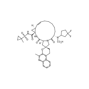 Cc1nc2ccccc2c2c1O[C@]1(CC2)C[C@H]2C(=O)N[C@]3(C(=O)NS(=O)(=O)C4(C)CC4)C[C@H]3/C=C\CCCCC[C@H](N(C(=O)O)C3CCC(F)(F)C3)C(=O)N2C1